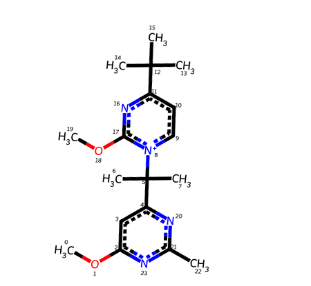 COc1cc(C(C)(C)[n+]2ccc(C(C)(C)C)nc2OC)nc(C)n1